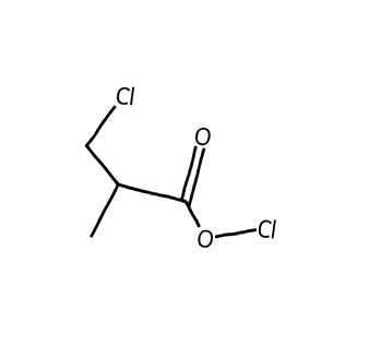 CC(CCl)C(=O)OCl